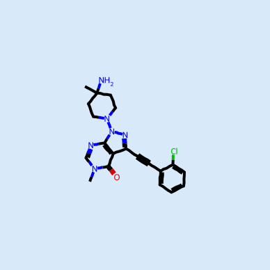 Cn1cnc2c(c(C#Cc3ccccc3Cl)nn2N2CCC(C)(N)CC2)c1=O